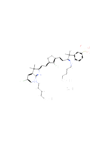 CC1(C)C(=CC=C2CCC(C=CC3=[N+](CCCCS(=O)(=O)O)c4ccc(S(=O)(=O)[O-])cc4C3(C)C)=C2Cl)N=C2C1=CC(Cl)=CN2CCCCS(=O)(=O)O.[NaH]